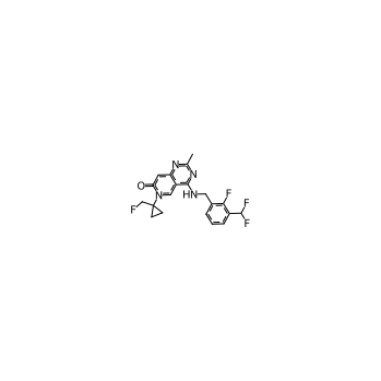 Cc1nc(NCc2cccc(C(F)F)c2F)c2cn(C3(CF)CC3)c(=O)cc2n1